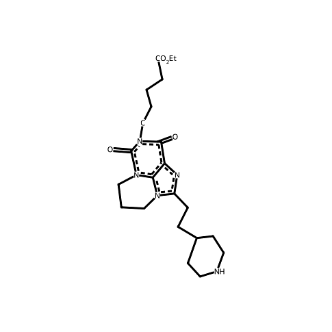 CCOC(=O)CCCCn1c(=O)c2nc(CCC3CCNCC3)n3c2n(c1=O)CCC3